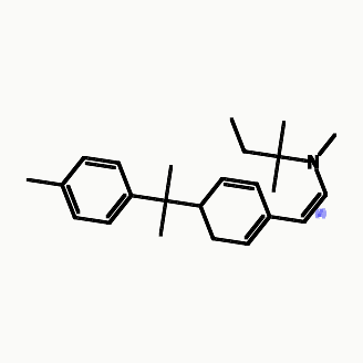 CCC(C)(C)N(C)/C=C\C1=CCC(C(C)(C)c2ccc(C)cc2)C=C1